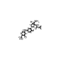 C[C@H](O)c1ncc(Nc2ncc(F)c(N3C[C@H]4[C@@H](N)[C@@]4(NC(=O)C4CC4)C3)n2)cc1Cl